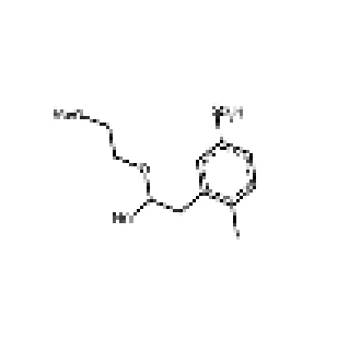 COCCOC(O)Cc1cc(S(=O)(=O)O)ccc1C